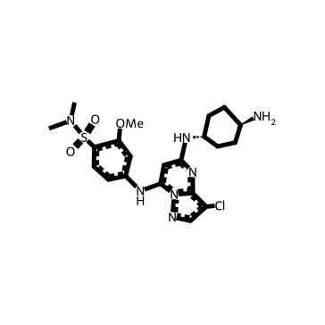 COc1cc(Nc2cc(N[C@H]3CC[C@H](N)CC3)nc3c(Cl)cnn23)ccc1S(=O)(=O)N(C)C